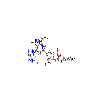 C=C/C(=C\C(=C/C)OCC(O)CNC)c1cc(NCCN)c2cnn(C(C)C)c2n1